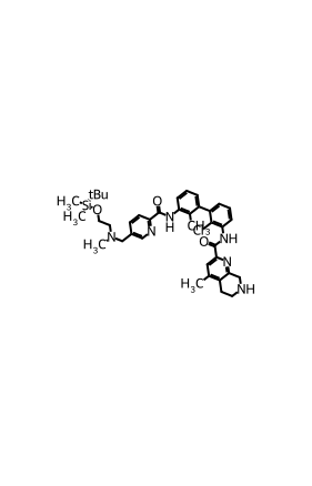 Cc1cc(C(=O)Nc2cccc(-c3cccc(NC(=O)c4ccc(CN(C)CCO[Si](C)(C)C(C)(C)C)cn4)c3C)c2Cl)nc2c1CCNC2